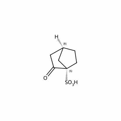 O=C1C[C@H]2CC[C@]1(S(=O)(=O)O)C2